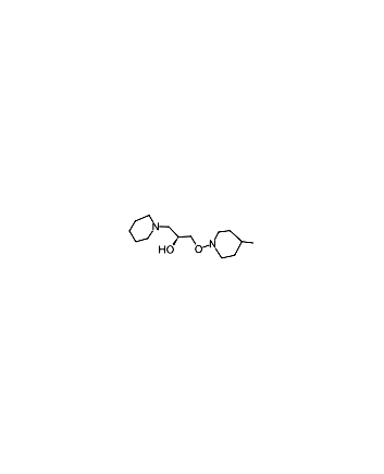 CC1CCN(OC[C@@H](O)CN2CCCCC2)CC1